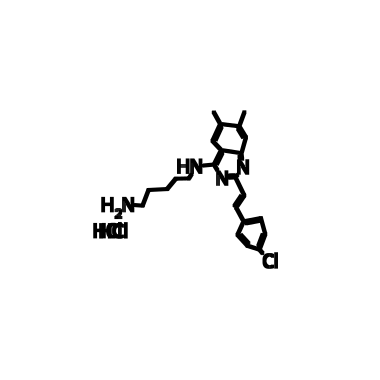 Cc1cc2nc(C=Cc3ccc(Cl)cc3)nc(NCCCCCN)c2cc1C.Cl.Cl